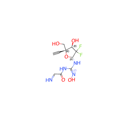 C#C[C@]1(CO)O[C@@H](N/C(=N/O)NC(=O)C=N)C(F)(F)[C@@H]1O